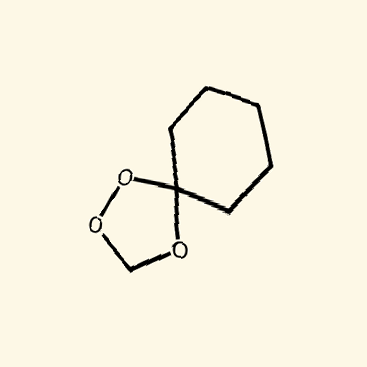 C1CCC2(CC1)OCOO2